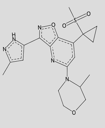 Cc1cc(-c2noc3c(C4(S(C)(=O)=O)CC4)cc(N4CCOCC4C)nc23)[nH]n1